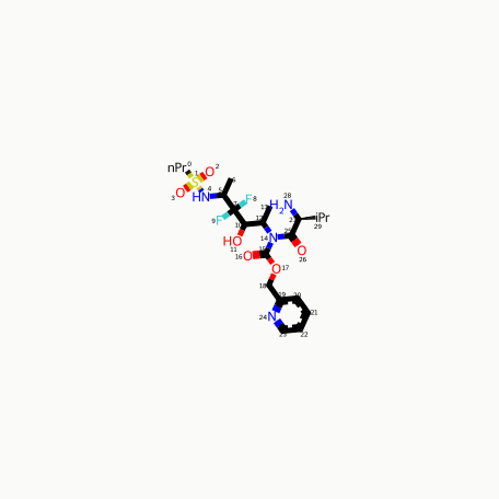 CCCS(=O)(=O)NC(C)C(F)(F)C(O)C(C)N(C(=O)OCc1ccccn1)C(=O)[C@@H](N)C(C)C